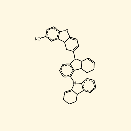 N#Cc1ccc2c(c1)C1CC(N3c4cccc(N5C6=CCCCC6c6ccccc65)c4C4CCC=CC43)=CC=C1O2